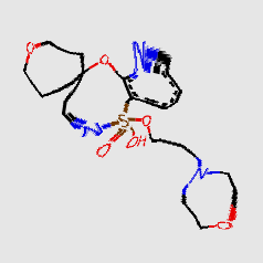 O=S1(O)(OCCN2CCOCC2)N=CC2(CCOCC2)Oc2ncccc21